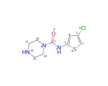 O=C(Nc1cc(Cl)cs1)N1CCNCC1